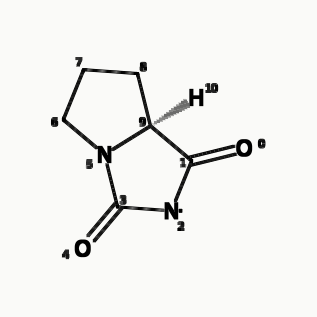 O=C1[N]C(=O)N2CCC[C@@H]12